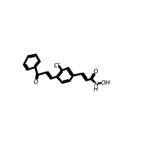 O=C(C=Cc1ccc(C=CC(=O)c2ccccc2)c(Cl)c1)NO